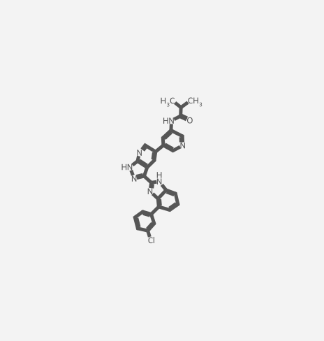 CC(C)C(=O)Nc1cncc(-c2cnc3[nH]nc(-c4nc5c(-c6cccc(Cl)c6)cccc5[nH]4)c3c2)c1